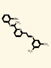 CC(=Nc1ccccc1C(C)(C)C)c1cccc(CC=Nc2cc(C)cc(C)c2)n1